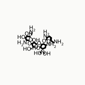 NCC1=CC[C@@H](N)[C@@H](O[C@H]2[C@H](O[C@@H]3O[C@H](CO)[C@@H](O[C@H]4O[C@@H](CN)[C@H](O)[C@H](O)[C@H]4N)[C@H]3O)[C@@H](O)[C@H](N(O)O)C[C@@H]2N)O1